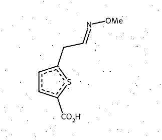 CON=CCc1ccc(C(=O)O)s1